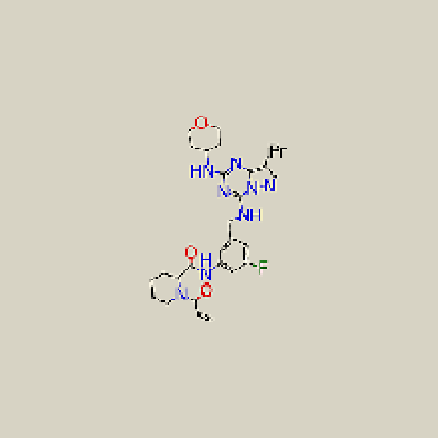 C=CC(=O)N1CCCCC1C(=O)Nc1cc(F)cc(CNc2nc(NC3CCOCC3)nc3c(C(C)C)cnn23)c1